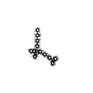 c1ccc(-c2ccc(-c3ccc(-c4ccc(N(c5ccc(-c6ccc(-c7ccc(-n8c9ccccc9c9ccccc98)cc7)cc6)cc5)c5cc6ccccc6c6c5oc5ccccc56)cc4)cc3)cc2)cc1